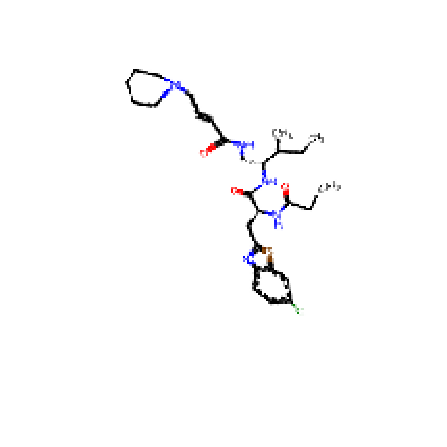 CCC(=O)N[C@@H](Cc1nc2ccc(Cl)cc2s1)C(=O)N[C@H](CNC(=O)/C=C/CN1CCCCC1)[C@@H](C)CC